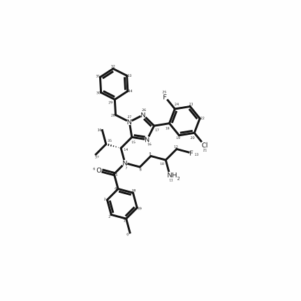 Cc1ccc(C(=O)N(CCC(N)CF)[C@@H](c2nc(-c3cc(Cl)ccc3F)nn2Cc2ccccc2)C(C)C)cc1